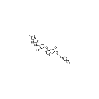 COc1cc2c(Oc3ccc(NC(=O)Nc4cc(C)on4)c(Cl)c3)ncnc2cc1OCCCN1CCC2(COC2)C1